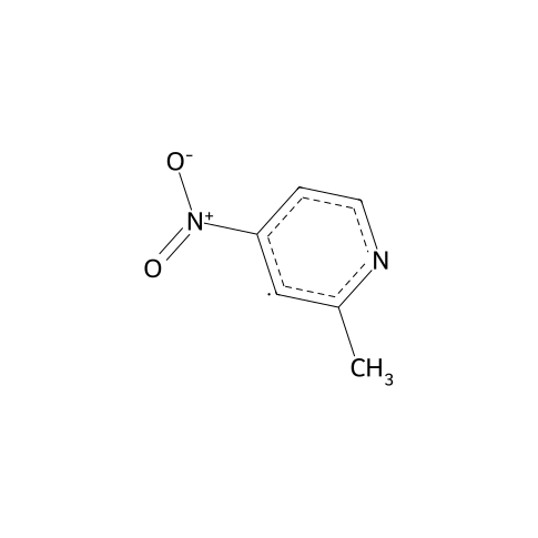 Cc1[c]c([N+](=O)[O-])ccn1